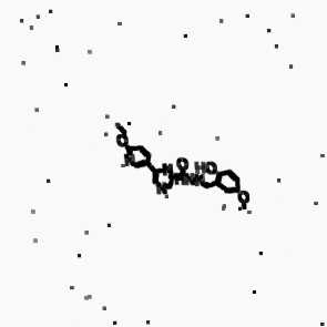 CCOc1ccc(-c2cncc(C(=O)N/N=C/c3cc(OC)ccc3O)n2)cn1